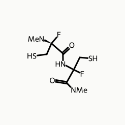 CNC(=O)C(F)(CS)NC(=O)[C@@](F)(CS)NC